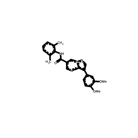 COc1ccc(-c2cnn3cc(C(=O)Nc4c(C)cccc4C)cnc23)cc1OC